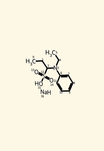 CCC(N(CC)c1ccccc1)S(=O)(=O)O.[NaH]